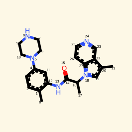 Cc1ccc(N2CCNCC2)cc1NC(=O)C(C)n1cc(C)c2cnccc21